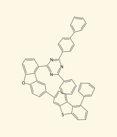 c1ccc(-c2ccc(-c3nc(-c4ccccc4)nc(-c4cccc5oc6ccc(-c7ccc8c(c7)sc7cccc(-c9ccccc9)c78)cc6c45)n3)cc2)cc1